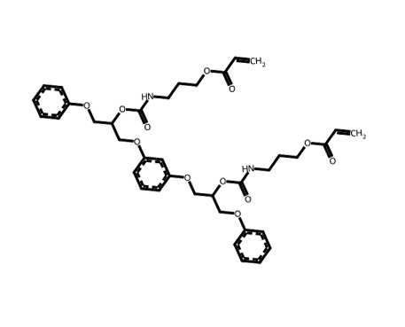 C=CC(=O)OCCCNC(=O)OC(COc1ccccc1)COc1cccc(OCC(COc2ccccc2)OC(=O)NCCCOC(=O)C=C)c1